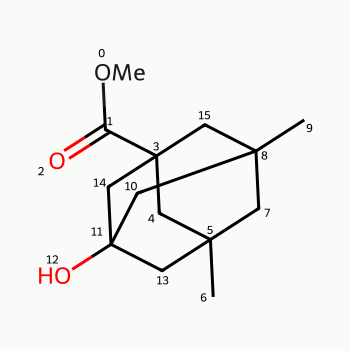 COC(=O)C12CC3(C)CC(C)(CC(O)(C3)C1)C2